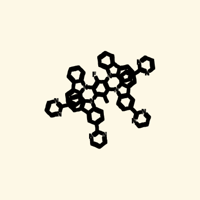 Cc1c(-n2c3ccc(-c4ncccn4)cc3c3cc(-c4ncccn4)ccc32)c(-n2c3ccccc3c3ccccc32)c(F)c(-n2c3ccccc3c3ccccc32)c1-n1c2ccc(-c3ncccn3)cc2c2cc(-c3ncccn3)ccc21